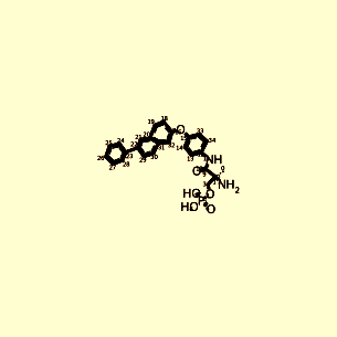 C[C@](N)(COP(=O)(O)O)C(=O)Nc1ccc(Oc2ccc3cc(-c4ccccc4)ccc3c2)cc1